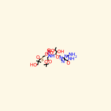 CC(O)[C@H](O)[C@@H](COP(=O)(NCC(=O)OC(C)(C)C)OCCSC(=O)C(C)(C)CO)OCn1cnc2c(=O)[nH]c(N)nc21